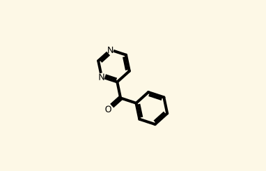 O=C(c1ccccc1)c1ccncn1